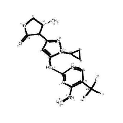 CNc1nc(Nc2cc(C3C(=O)OC[C@@H]3C)nn2C2CC2)ncc1C(F)(F)F